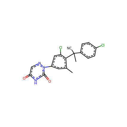 Cc1cc(-n2ncc(=O)[nH]c2=O)cc(Cl)c1C(C)(C#N)c1ccc(Cl)cc1